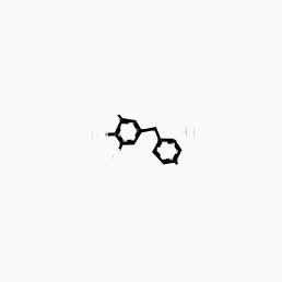 CCc1cc(Cc2ccc(O)cc2O)cc(C)c1O